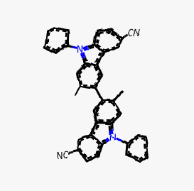 Cc1cc2c(cc1-c1cc3c4cc(C#N)ccc4n(-c4ccccc4)c3cc1C)c1cc(C#N)ccc1n2-c1ccccc1